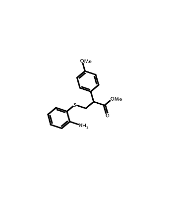 COC(=O)C(CSc1ccccc1N)c1ccc(OC)cc1